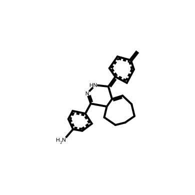 C=c1ccc(=C2NN=C(c3ccc(N)cc3)C3CCCCC/C=C/23)cc1